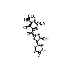 CN1CCN(C2CN(C(=O)c3cc(C#N)cc(NC(=O)O)c3Cl)CC2O)CC1